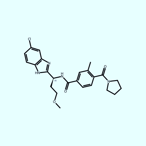 COCC[C@H](NC(=O)c1ccc(C(=O)N2CCCC2)c(C)c1)c1nc2cc(Cl)ccc2[nH]1